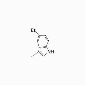 [CH2]c1c[nH]c2ccc(CC)cc12